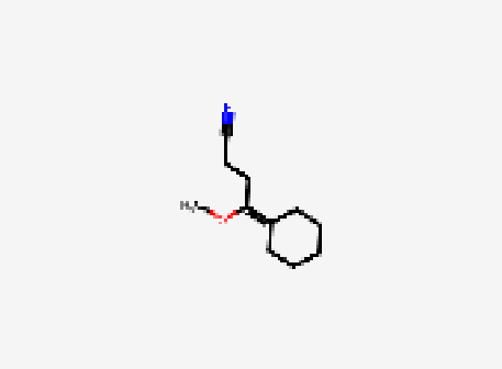 COC(CCC#N)=C1CCCCC1